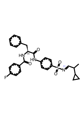 CC(/C=N/S(=O)(=O)c1ccc(NC(=O)[C@H](Cc2ccccc2)NC(=O)c2ccc(F)cc2)cc1)C1CC1